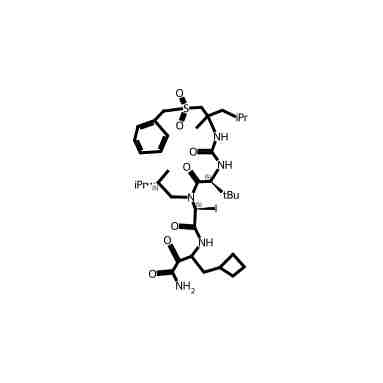 CC(C)CC(C)(CS(=O)(=O)Cc1ccccc1)NC(=O)N[C@H](C(=O)N(C[C@@H](C)C(C)C)[C@@H](I)C(=O)NC(CC1CCC1)C(=O)C(N)=O)C(C)(C)C